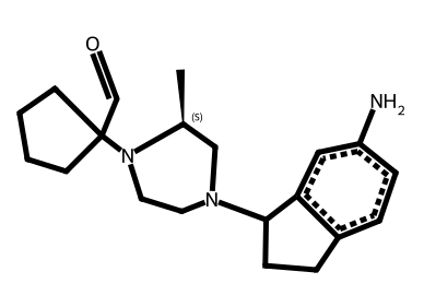 C[C@H]1CN(C2CCc3ccc(N)cc32)CCN1C1(C=O)CCCC1